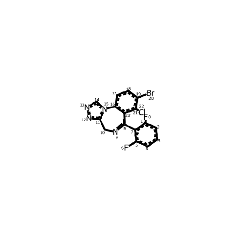 Fc1cccc(F)c1C1=NCc2nncn2-c2ccc(Br)c(Cl)c21